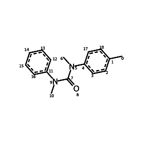 Cc1ccc(N(C)C(=O)N(C)c2ccccc2)cc1